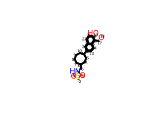 CS(=O)(=O)NCC1CCCCC(c2ccc3c(C=O)c(O)ccc3c2)CC1